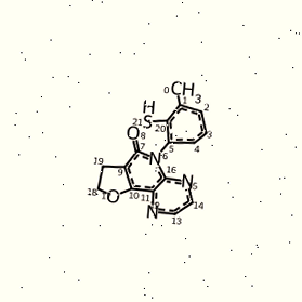 Cc1cccc(-n2c(=O)c3c(c4nccnc42)OCC3)c1S